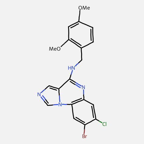 COc1ccc(CNc2nc3cc(Cl)c(Br)cc3n3cncc23)c(OC)c1